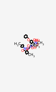 CC(=O)N(O)C(C)c1ccc(OCc2ccccc2)cc1O.Cc1ccc(NC(=O)c2ccc(C)cc2OCC(=O)N(C)O)cc1